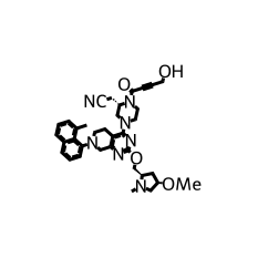 CO[C@@H]1C[C@H](COc2nc3c(c(N4CCN(C(=O)C#CCO)[C@@H](CC#N)C4)n2)CCN(c2cccc4cccc(C)c24)C3)N(C)C1